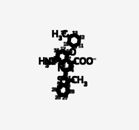 Cc1c(-c2cc(C(=O)[O-])c3c(O[C@H]4CCC[C@H](C)C4)ccc(C)c3n2)sc2ccccc12.[Na+]